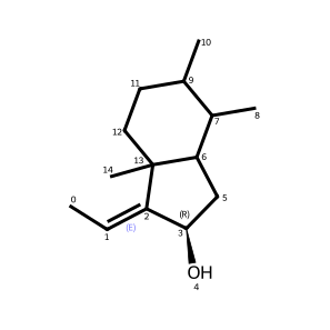 C/C=C1/[C@H](O)CC2C(C)C(C)CCC12C